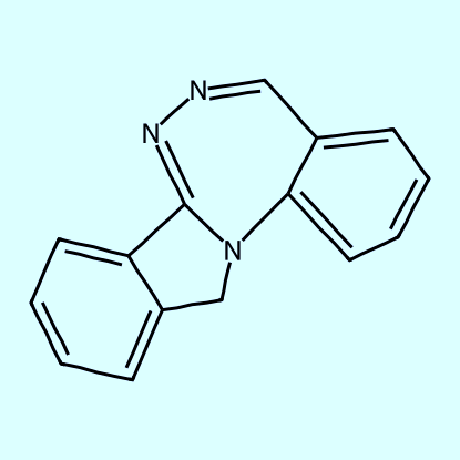 C1=NN=C2c3ccccc3CN2c2ccccc21